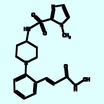 Cn1ccnc1S(=O)(=O)NC1CCN(c2ccccc2/C=C/C(=O)NO)CC1